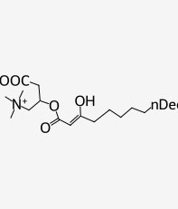 CCCCCCCCCCCCCCCC(O)=CC(=O)OC(CC(=O)[O-])C[N+](C)(C)C